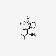 CC(C)C(N)C(=O)N1CCC[C@H]1B(O)O